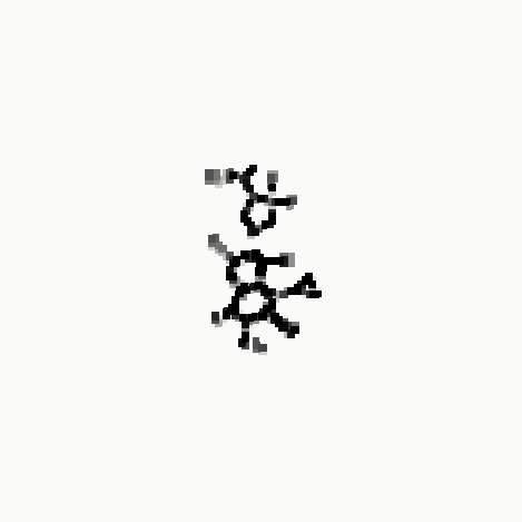 CC(N)C1CN(c2c(F)cc3c(=O)n(N)c(=O)n(C4CC4)c3c2Cl)CC1(F)F